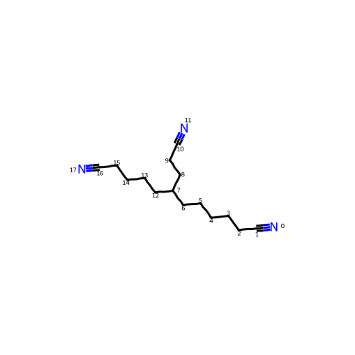 N#CCCCCCC(CCC#N)CCCCC#N